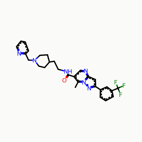 Cc1c(C(=O)NCCC2CCN(Cc3ccccn3)CC2)cnc2cc(-c3cccc(C(F)(F)F)c3)nn12